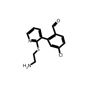 NCCSc1ncccc1-c1cc(Cl)ccc1C=O